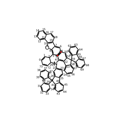 C1=CC(c2cccc3c2oc2c4ccccc4ccc32)C(N(c2ccc3c(c2)C(c2ccccc2)(c2ccccc2)c2ccccc2-3)c2cccc3c2-c2ccccc2C32c3ccccc3-c3ccccc32)C=C1